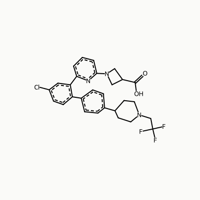 O=C(O)C1CN(c2cccc(-c3cc(Cl)ccc3-c3ccc(C4CCN(CC(F)(F)F)CC4)cc3)n2)C1